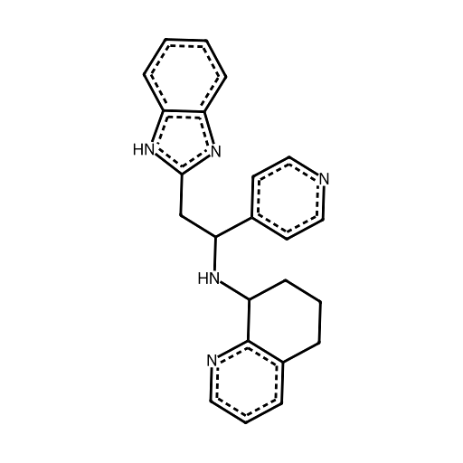 c1cnc2c(c1)CCCC2NC(Cc1nc2ccccc2[nH]1)c1ccncc1